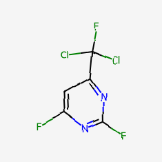 Fc1cc(C(F)(Cl)Cl)nc(F)n1